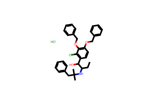 CCC(NC(C)(C)Cc1ccccc1)C(O)c1ccc(OCc2ccccc2)c(OCc2ccccc2)c1Cl.Cl